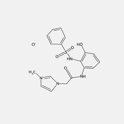 C[n+]1ccn(CC(=O)Nc2cccc(O)c2NS(=O)(=O)c2ccccc2)c1.[Cl-]